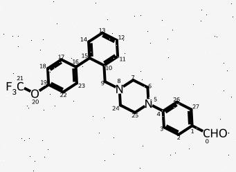 O=[C]c1ccc(N2CCN(Cc3ccccc3-c3ccc(OC(F)(F)F)cc3)CC2)cc1